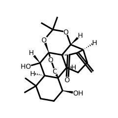 C=C1C(=O)[C@@]23[C@@H]4OC(C)(C)O[C@]25OC[C@@]2([C@H]([C@@H]5O)C(C)(C)CC[C@@H]2O)[C@@H]3CC[C@@H]14